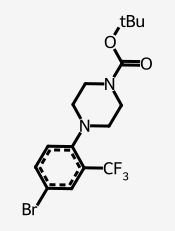 CC(C)(C)OC(=O)N1CCN(c2ccc(Br)cc2C(F)(F)F)CC1